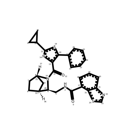 O=C(NC[C@H]1[C@H]2CC[C@@H](C2)N1C(=O)c1nc(C2CC2)sc1-c1ccccc1)c1cccc2ncsc12